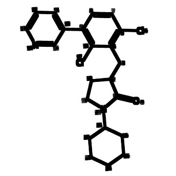 O=C1C(Cc2c(Cl)ccc(-c3cccnc3)c2Cl)CCN1C1CCCCC1